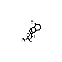 CCC1CCCC2C1C1CC2C(CC)(OC(=O)C(C)C)C1